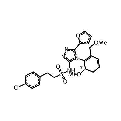 COCC1=C(n2c(NS(=O)(=O)CCc3ccc(Cl)cc3)nnc2-c2ccco2)[C@@H](OC)CC=C1